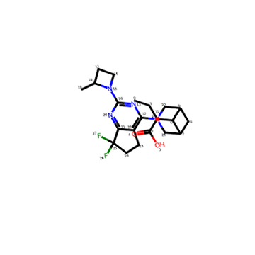 CCC(C(=O)O)C1C2CC1CN(c1nc(N3CCC3C)nc3c1CCC3(F)F)C2